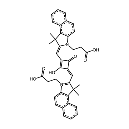 CC1(C)C(=CC2=C(O)C(=CC3=[N+](CCC(=O)O)c4ccc5ccccc5c4C3(C)C)C2=O)N(CCC(=O)O)c2ccc3ccccc3c21